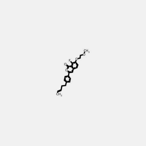 C/C=C/CCc1ccc(-c2cc3ccc(OCCOC)c(F)c3c(=O)o2)cc1